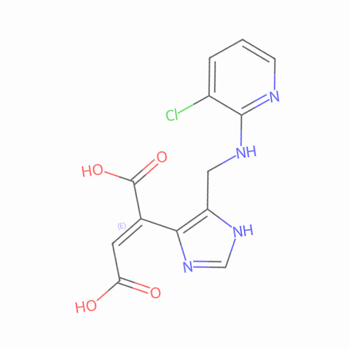 O=C(O)/C=C(/C(=O)O)c1nc[nH]c1CNc1ncccc1Cl